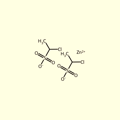 CC(Cl)S(=O)(=O)[O-].CC(Cl)S(=O)(=O)[O-].[Zn+2]